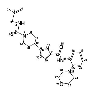 C=C(C)CNC(=S)N1CCC(c2nc(C(=O)Nc3ccccc3N3CCOCC3)cs2)CC1